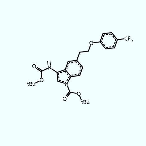 CC(C)(C)OC(=O)Nc1cn(C(=O)OC(C)(C)C)c2ccc(CCOc3ccc(C(F)(F)F)cc3)cc12